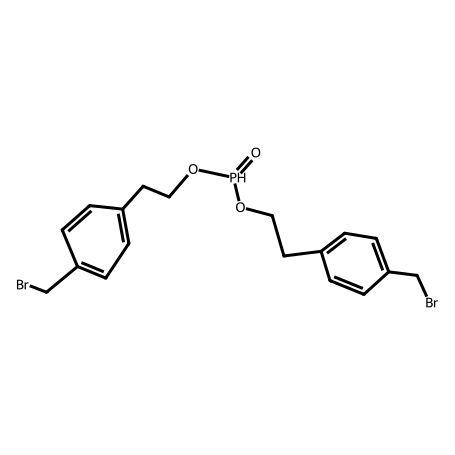 O=[PH](OCCc1ccc(CBr)cc1)OCCc1ccc(CBr)cc1